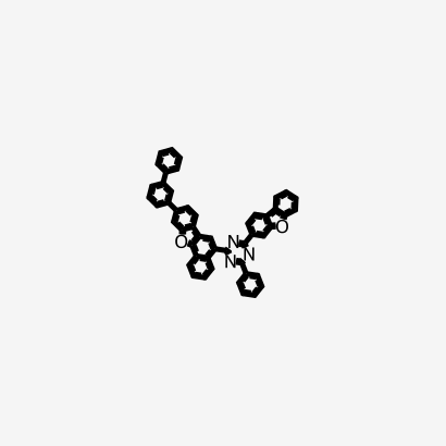 c1ccc(-c2cccc(-c3ccc4c(c3)oc3c5ccccc5c(-c5nc(-c6ccccc6)nc(-c6ccc7c(c6)oc6ccccc67)n5)cc43)c2)cc1